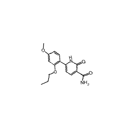 CCCOc1cc(OC)ccc1-c1ccc(C(N)=O)c(=O)[nH]1